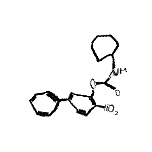 O=C(NC1CCCCC1)Oc1cc(-c2ccccc2)ccc1[N+](=O)[O-]